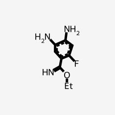 CCOC(=N)c1cc(N)c(N)cc1F